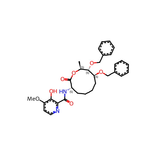 COc1ccnc(C(=O)N[C@H]2CCCC[C@H](OCc3ccccc3)[C@@H](OCc3ccccc3)[C@H](C)OC2=O)c1O